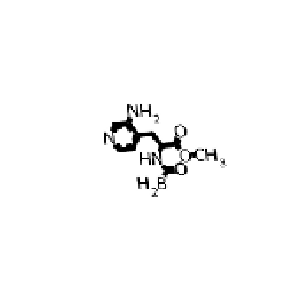 BC(=O)NC(Cc1ccncc1N)C(=O)OC